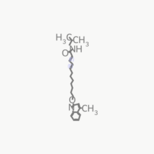 Cc1cc(OCCCCCCC/C=C/C=C/C(=O)NCC(C)C)nc2ccccc12